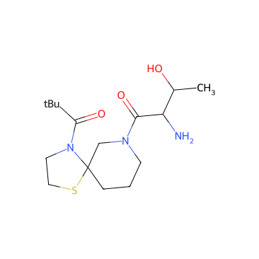 CC(O)C(N)C(=O)N1CCCC2(C1)SCCN2C(=O)C(C)(C)C